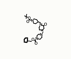 CC(C)(C)OC(=O)N1CCC(CN2CC[C@@H](CN3CCN(C(=O)OCc4ccccc4)CC3)CC2=O)CC1